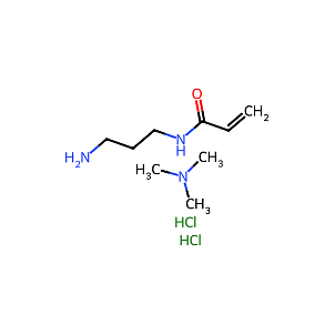 C=CC(=O)NCCCN.CN(C)C.Cl.Cl